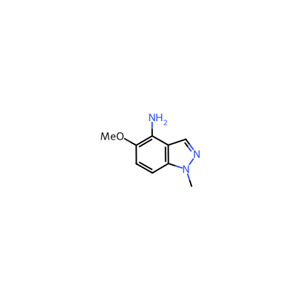 COc1ccc2c(cnn2C)c1N